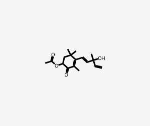 C=CC(C)(O)/C=C/C1=C(C)C(=O)C(OC(C)=O)CC1(C)C